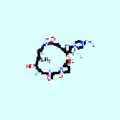 CC1=C\[C@@H](O)C[C@@H](F)Cc2nc(co2)C(=O)N2CCC[C@@H]2C(=O)O[C@H]([C@@H](C)CN2CCN(C)CC2)[C@H](C)/C=C/C(=O)NC\C=C\1